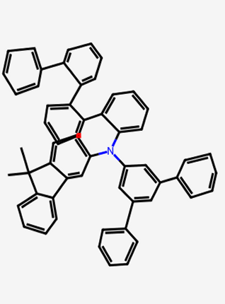 CC1(C)c2ccccc2-c2cc(N(c3cc(-c4ccccc4)cc(-c4ccccc4)c3)c3ccccc3-c3ccccc3-c3ccccc3-c3ccccc3)ccc21